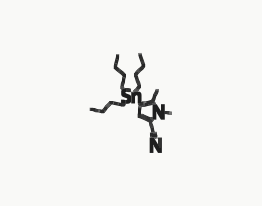 CCC[CH2][Sn]([CH2]CCC)([CH2]CCC)[c]1cc(C#N)n(C)c1C